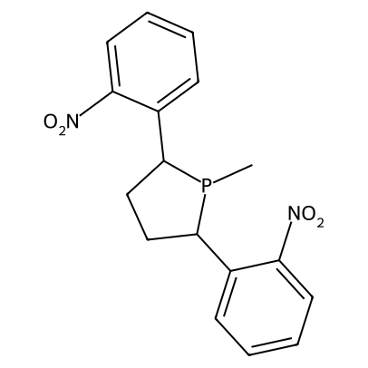 CP1C(c2ccccc2[N+](=O)[O-])CCC1c1ccccc1[N+](=O)[O-]